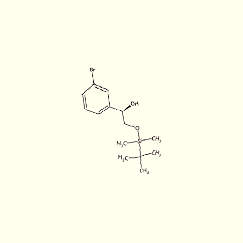 CC(C)(C)[Si](C)(C)OC[C@H](O)c1cccc(Br)c1